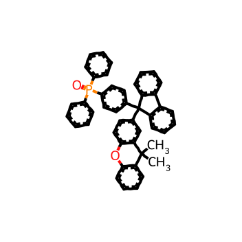 CC1(C)c2ccccc2Oc2ccc(C3(c4ccc(P(=O)(c5ccccc5)c5ccccc5)cc4)c4ccccc4-c4ccccc43)cc21